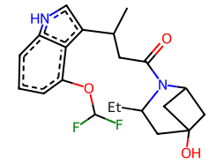 CCC1CC2(O)CC(C2)N1C(=O)CC(C)c1c[nH]c2cccc(OC(F)F)c12